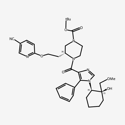 COC[C@]1(O)CCCC[C@H]1n1cnc(C(=O)N2CCN(C(=O)OC(C)(C)C)C[C@H]2CCOc2ccc(C#N)cn2)c1-c1ccccc1